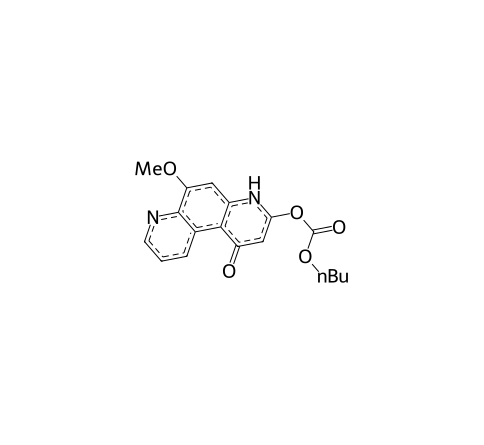 CCCCOC(=O)Oc1cc(=O)c2c(cc(OC)c3ncccc32)[nH]1